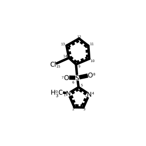 Cn1ccnc1S(=O)(=O)c1ccccc1Cl